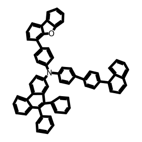 c1ccc(-c2c(-c3ccccc3)c3cc(N(c4ccc(-c5ccc(-c6cccc7ccccc67)cc5)cc4)c4ccc(-c5cccc6c5oc5ccccc56)cc4)ccc3c3ccccc23)cc1